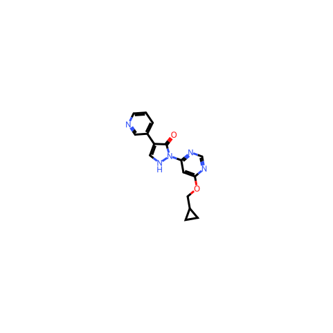 O=c1c(-c2cccnc2)c[nH]n1-c1cc(OCC2CC2)ncn1